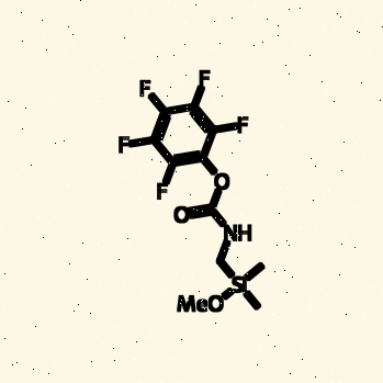 CO[Si](C)(C)CNC(=O)Oc1c(F)c(F)c(F)c(F)c1F